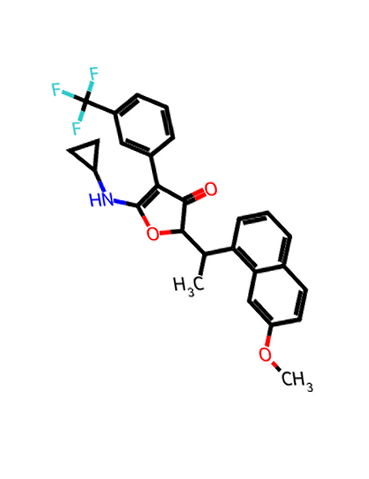 COc1ccc2cccc(C(C)C3OC(NC4CC4)=C(c4cccc(C(F)(F)F)c4)C3=O)c2c1